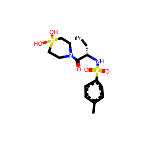 Cc1ccc(S(=O)(=O)N[C@@H](CC(C)C)C(=O)N2CCS(O)(O)CC2)cc1